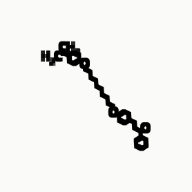 C=C(C)c1ccc(OCCCCCCCCCCOc2ccc(C=CC(=O)c3ccccc3)cc2)cc1